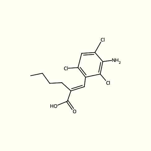 CCCCC(=Cc1c(Cl)cc(Cl)c(N)c1Cl)C(=O)O